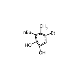 CCCCc1c(C)c(CC)cc(O)c1O